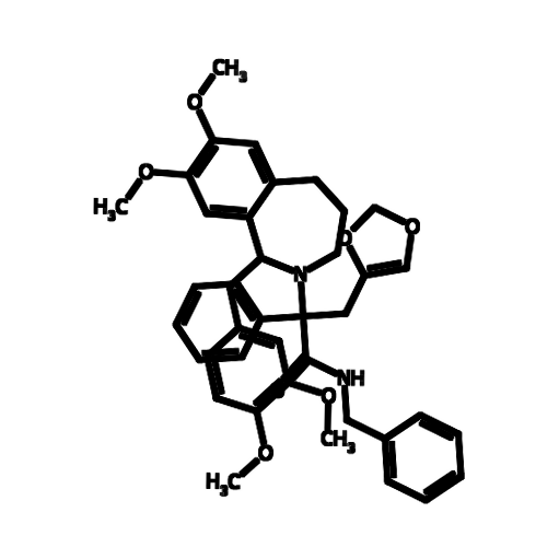 COc1ccc(CC2c3cc(OC)c(OC)cc3CCCN2C(CC2=COCO2)(C(=O)NCc2ccccc2)c2ccccc2)cc1OC